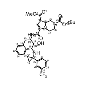 COC(=O)C1C=C(C(=O)N[C@@H](Cc2ccccc2)[C@H](O)CNC2(c3cccc(C(F)(F)F)c3)CC2)N2CCN(C(=O)OC(C)(C)C)CC12